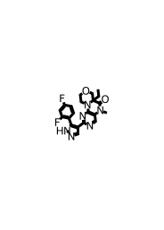 CCC12COCCN1c1nc(-c3cn[nH]c3-c3ccc(F)cc3F)ncc1N(C)C2=O